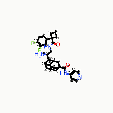 NC(CNC(=O)C1(c2ccc(F)c(F)c2)CCC1)C1C2CC3CC1CC(C(=O)Nc1ccncc1)(C3)C2